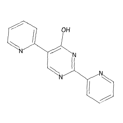 Oc1nc(-c2ccccn2)ncc1-c1ccccn1